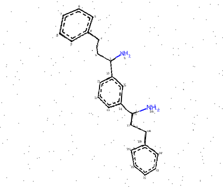 NC(CCc1ccccc1)c1cccc(C(N)CCc2ccccc2)c1